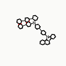 c1ccc(-c2ccc(-c3ccccc3N(c3ccc(-c4ccccc4)cc3)c3ccc(-c4ccc(-n5c6ccccc6c6ccc7ccccc7c65)cc4)cc3)cc2)cc1